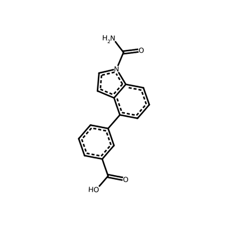 NC(=O)n1ccc2c(-c3cccc(C(=O)O)c3)cccc21